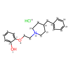 Cl.Oc1ccccc1OCCN1CCC(Cc2ccccc2)CC1